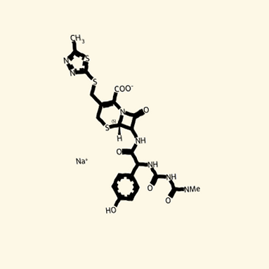 CNC(=O)NC(=O)NC(C(=O)NC1C(=O)N2C(C(=O)[O-])=C(CSc3nnc(C)s3)CS[C@@H]12)c1ccc(O)cc1.[Na+]